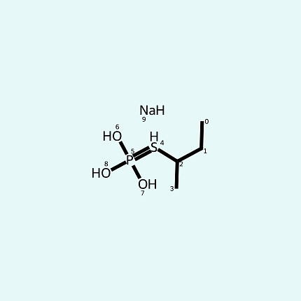 CCC(C)[SH]=P(O)(O)O.[NaH]